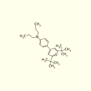 CCCN(CCC)c1ccc(-c2cc(C(C)(C)C)[s+]c(C(C)(C)C)c2)cc1